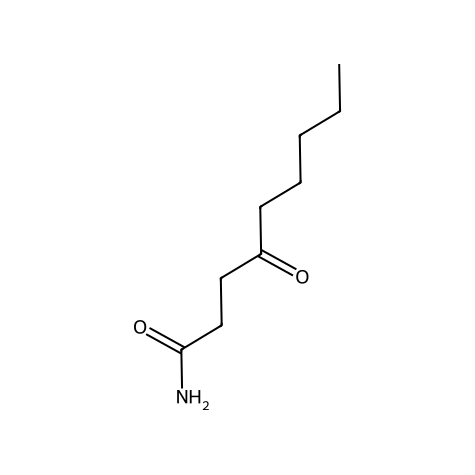 CCCCCC(=O)CCC(N)=O